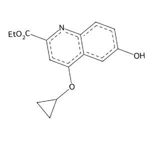 CCOC(=O)c1cc(OC2CC2)c2cc(O)ccc2n1